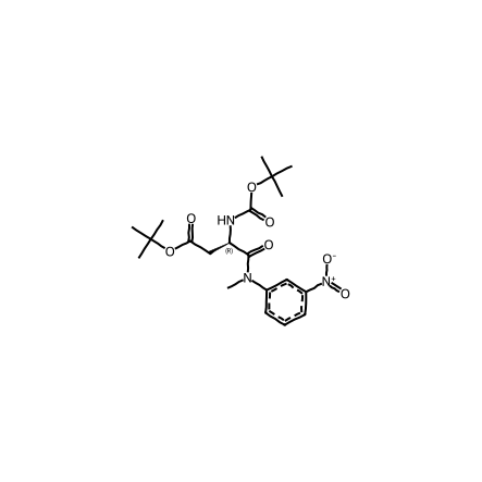 CN(C(=O)[C@@H](CC(=O)OC(C)(C)C)NC(=O)OC(C)(C)C)c1cccc([N+](=O)[O-])c1